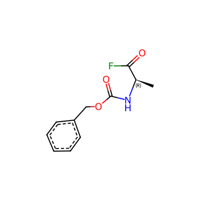 C[C@@H](NC(=O)OCc1ccccc1)C(=O)F